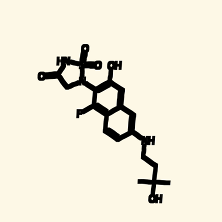 CC(C)(O)CCNc1ccc2c(F)c(N3CC(=O)NS3(=O)=O)c(O)cc2c1